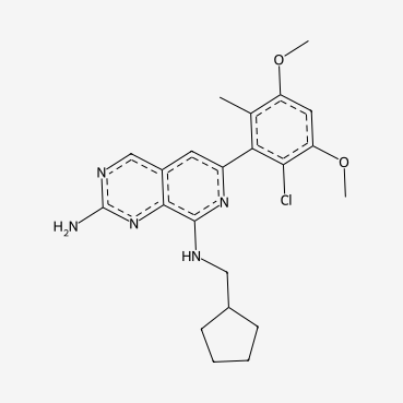 COc1cc(OC)c(Cl)c(-c2cc3cnc(N)nc3c(NCC3CCCC3)n2)c1C